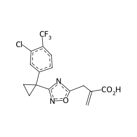 C=C(Cc1nc(C2(c3ccc(C(F)(F)F)c(Cl)c3)CC2)no1)C(=O)O